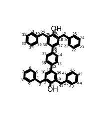 Oc1c(Cc2ccccc2)cc(-c2ccc(-c3cc(Cc4ccccc4)c(O)c(Cc4ccccc4)c3)cc2)cc1Cc1ccccc1